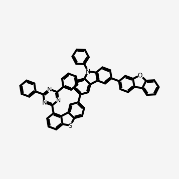 c1ccc(-c2nc(-c3ccccc3)nc(-c3cccc4sc5ccc(-c6ccc7c(c6)c6cc(-c8ccc9c(c8)oc8ccccc89)ccc6n7-c6ccccc6)cc5c34)n2)cc1